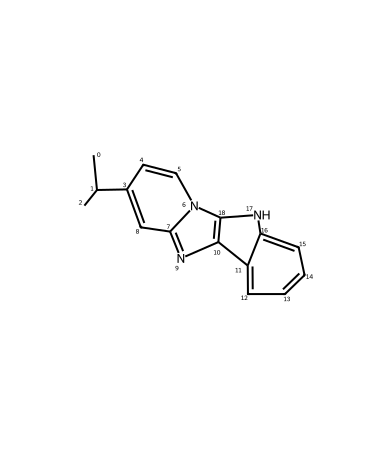 CC(C)c1ccn2c(c1)nc1c3ccccc3[nH]c12